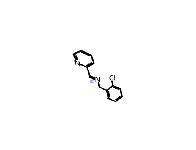 Clc1ccccc1C/N=C/c1ccccn1